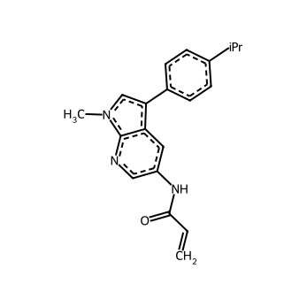 C=CC(=O)Nc1cnc2c(c1)c(-c1ccc(C(C)C)cc1)cn2C